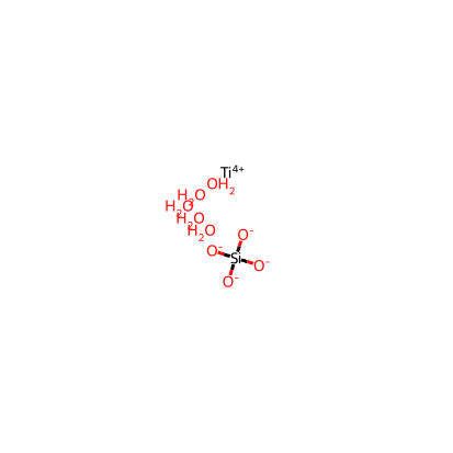 O.O.O.O.O.[O-][Si]([O-])([O-])[O-].[Ti+4]